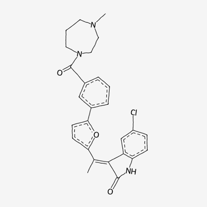 CC(=C1C(=O)Nc2ccc(Cl)cc21)c1ccc(-c2cccc(C(=O)N3CCCN(C)CC3)c2)o1